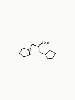 COC(CN1CCCC1)CN1CCCC1